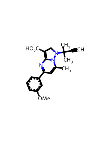 C#CC(C)(C)N1CC(C(=O)O)=C2N=C(c3cccc(OC)c3)C=C(C)N21